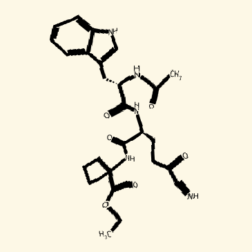 CCOC(=O)C1(NC(=O)[C@H](CCC(=O)C=N)NC(=O)[C@H](Cc2c[nH]c3ccccc23)NC(C)=O)CCC1